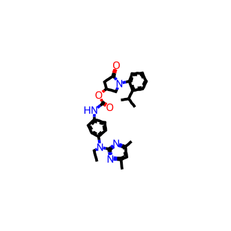 CCN(c1ccc(NC(=O)OC2CC(=O)N(c3ccccc3C(C)C)C2)cc1)c1nc(C)cc(C)n1